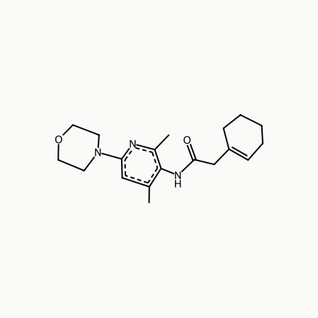 Cc1cc(N2CCOCC2)nc(C)c1NC(=O)CC1=CCCCC1